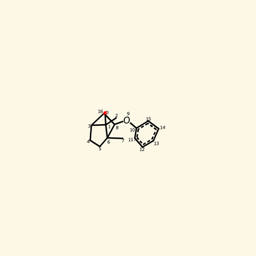 CC1(C)C2CCC1(C)C(Oc1[c]cccc1)C2